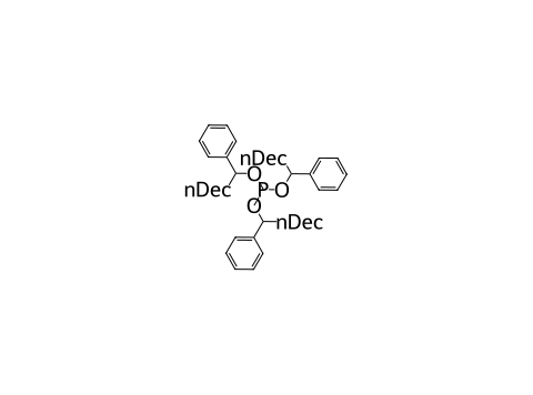 CCCCCCCCCCC(OP(OC(CCCCCCCCCC)c1ccccc1)OC(CCCCCCCCCC)c1ccccc1)c1ccccc1